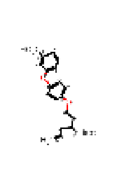 C=CCC(CCCCCCC)CCOc1ccc(Oc2cccc(C(=O)O)c2)cc1